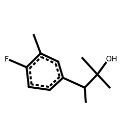 Cc1cc(C(C)C(C)(C)O)ccc1F